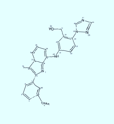 COc1cccc(-c2nc3c(Nc4ccc(-n5cncn5)c(CO)c4)cccn3c2C)c1